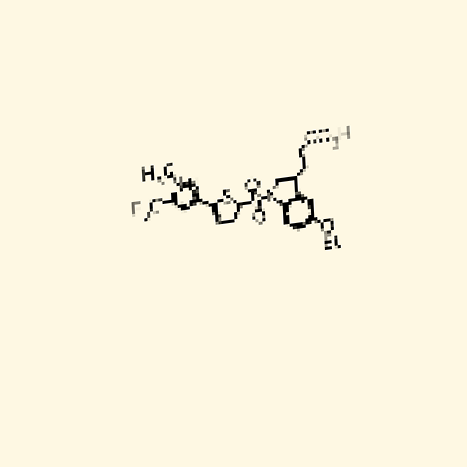 CCOc1ccc2c(c1)C(CCC(=O)O)CN2S(=O)(=O)C1CC=C(c2cc(C(F)(F)F)n(C)n2)S1